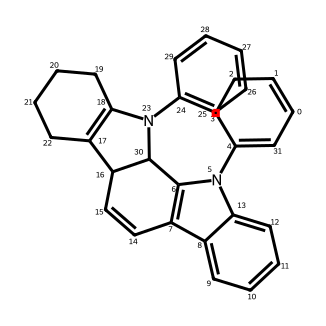 C1=CCCC(n2c3c(c4ccccc42)C=CC2C4=C(CCCC4)N(c4ccccc4)C32)=C1